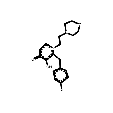 O=c1ccn(CCN2CCOCC2)c(Cc2ccc(F)cc2)c1O